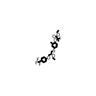 CCOC(=O)C(C)(I)Oc1ccc(SCC(COc2ccc(C(F)(F)F)cc2)OCC)cc1C